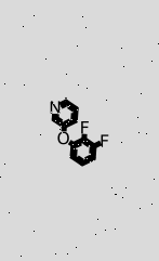 Fc1cccc(Oc2cc[c]nc2)c1F